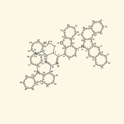 CCC1C(c2ccc(-n3c4cc5ccccc5cc4c4c5ccccc5ccc43)c3c2oc2ccccc23)=NC(c2cccc3c4ccccc4n(-c4ccccc4)c23)=NC1c1ccccc1